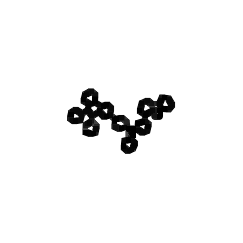 c1ccc(-c2c(-c3ccccc3)c3cc(-c4ccc(N(c5ccccc5)c5cccc(-c6cccc7c6oc6ccccc67)c5)cc4)ccc3c3ccccc23)cc1